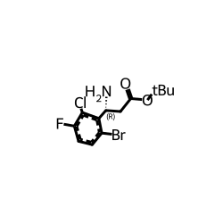 CC(C)(C)OC(=O)C[C@@H](N)c1c(Br)ccc(F)c1Cl